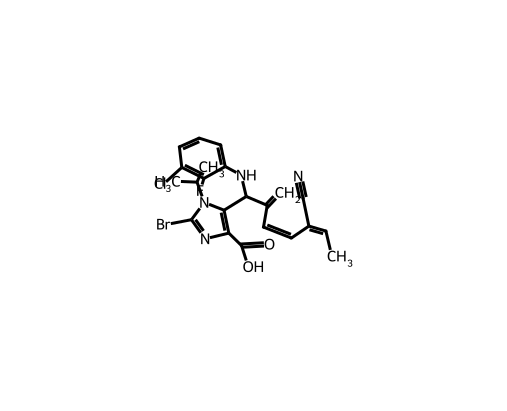 C=C(/C=C\C(C#N)=C/C)C(Nc1cccc(Cl)c1F)c1c(C(=O)O)nc(Br)n1C(C)C